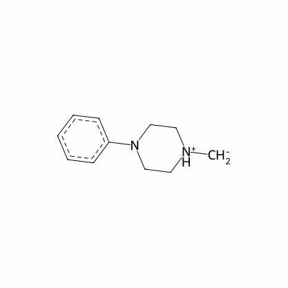 [CH2-][NH+]1CCN(c2ccccc2)CC1